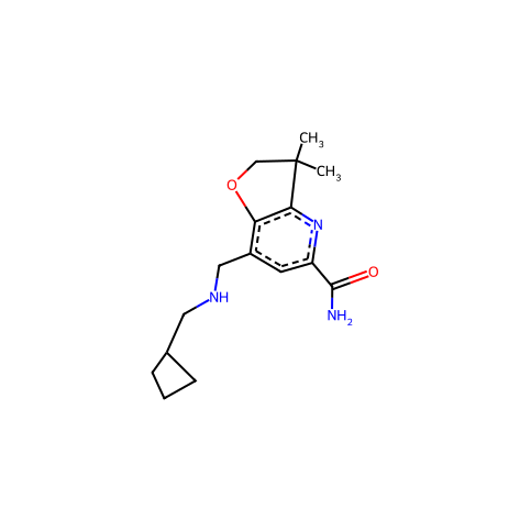 CC1(C)COc2c(CNCC3CCC3)cc(C(N)=O)nc21